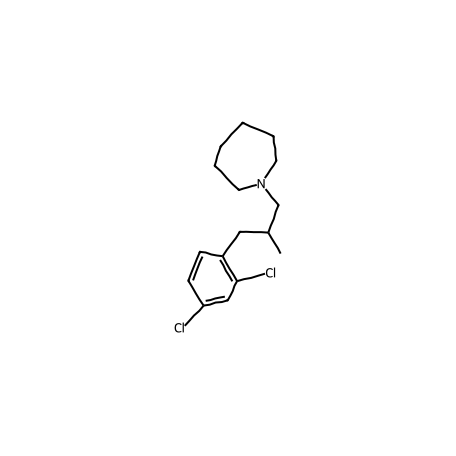 CC(Cc1ccc(Cl)cc1Cl)CN1CCCCCC1